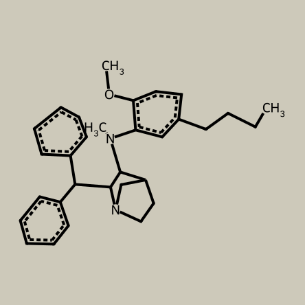 CCCCc1ccc(OC)c(N(C)C2C3CCN(C3)C2C(c2ccccc2)c2ccccc2)c1